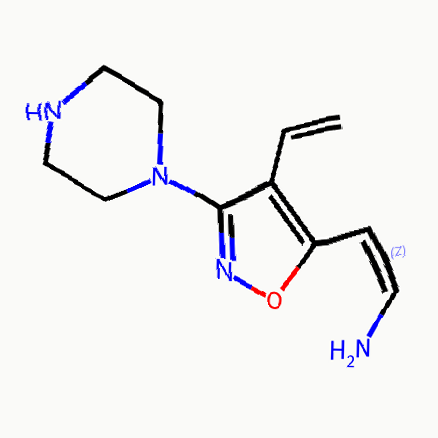 C=Cc1c(N2CCNCC2)noc1/C=C\N